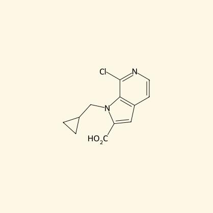 O=C(O)c1cc2ccnc(Cl)c2n1CC1CC1